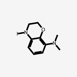 CN(C)c1cccc2c1OCCN2I